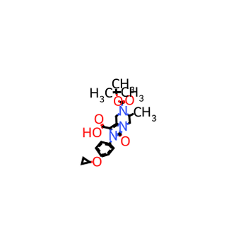 CC1Cn2c(c(C(=O)O)n(-c3ccc(OC4CC4)cc3)c2=O)CN1C(=O)OC(C)(C)C